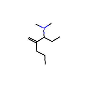 C=C(CCC)C(CC)N(C)C